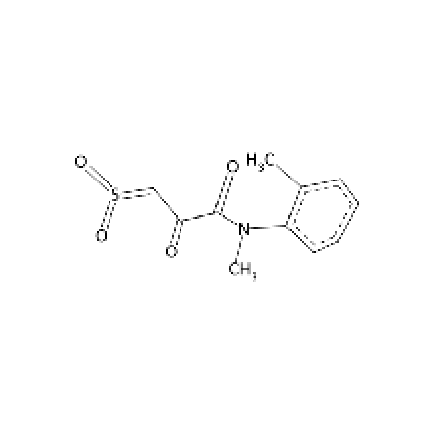 Cc1ccccc1N(C)C(=O)C(=O)C=S(=O)=O